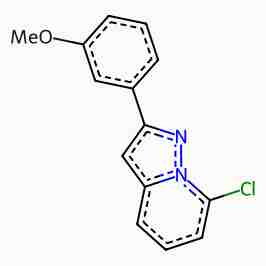 COc1cccc(-c2cc3cccc(Cl)n3n2)c1